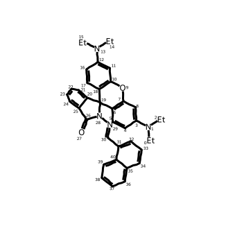 CCN(CC)c1ccc2c(c1)Oc1cc(N(CC)CC)ccc1C21c2ccccc2C(=O)N1N=Cc1cccc2ccccc12